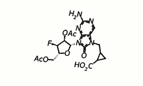 CC(=O)OC[C@H]1O[C@@H](n2c(=O)n(CC3CC3C(=O)O)c3cnc(N)nc32)[C@H](OC(C)=O)[C@@H]1F